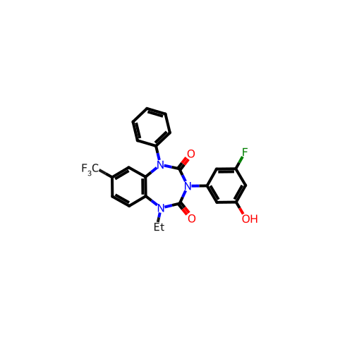 CCN1C(=O)N(c2cc(O)cc(F)c2)C(=O)N(c2ccccc2)c2cc(C(F)(F)F)ccc21